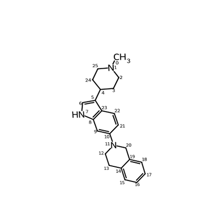 CN1CCC(c2c[nH]c3cc(N4CCc5ccccc5C4)ccc23)CC1